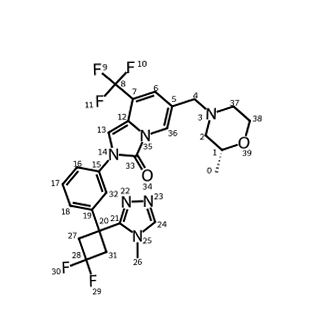 C[C@@H]1CN(Cc2cc(C(F)(F)F)c3cn(-c4cccc(C5(c6nncn6C)CC(F)(F)C5)c4)c(=O)n3c2)CCO1